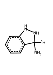 [2H]C1(N)NNc2ccccc21